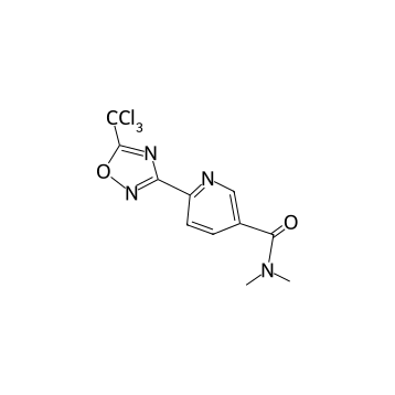 CN(C)C(=O)c1ccc(-c2noc(C(Cl)(Cl)Cl)n2)nc1